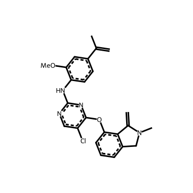 C=C(C)c1ccc(Nc2ncc(Cl)c(Oc3cccc4c3C(=C)N(C)C4)n2)c(OC)c1